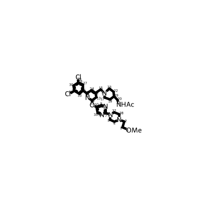 COCCN1CCN(c2ncc(OC3CC(CN4CCC(CNC(C)=O)CC4)=CC(c4cc(Cl)cc(Cl)c4)=N3)cn2)CC1